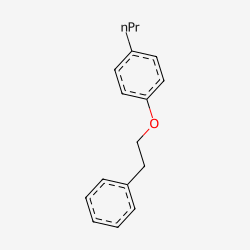 CCCc1ccc(OCCc2ccccc2)cc1